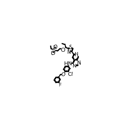 CCC(OCCS(=O)(=O)CC)c1nc(-c2cc3c(Nc4ccc(OCc5cccc(F)c5)c(Cl)c4)ncnc3cn2)cs1